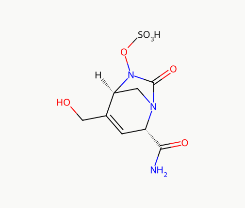 NC(=O)[C@@H]1C=C(CO)[C@@H]2CN1C(=O)N2OS(=O)(=O)O